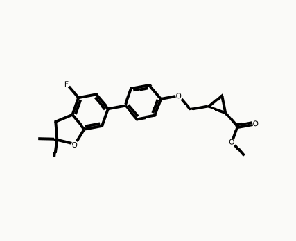 COC(=O)C1CC1COc1ccc(-c2cc(F)c3c(c2)OC(C)(C)C3)cc1